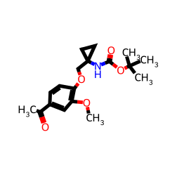 COc1cc(C(C)=O)ccc1OCC1(NC(=O)OC(C)(C)C)CC1